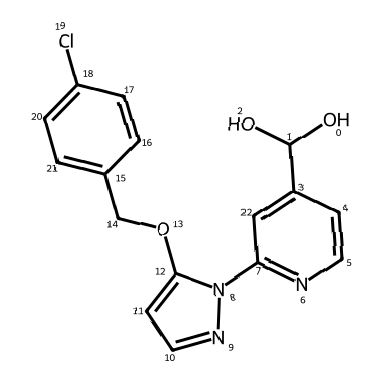 OC(O)c1ccnc(-n2nccc2OCc2ccc(Cl)cc2)c1